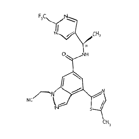 Cc1cnc(-c2cc(C(=O)N[C@H](C)c3cnc(C(F)(F)F)nc3)cc3c2cnn3CC#N)s1